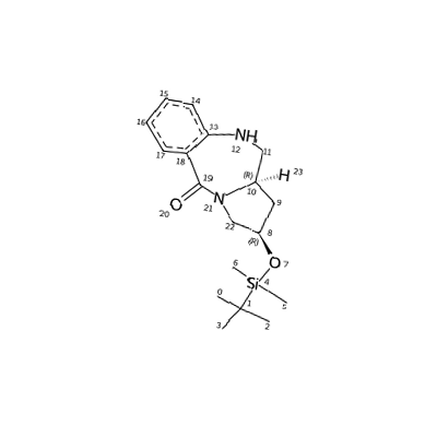 CC(C)(C)[Si](C)(C)O[C@@H]1C[C@@H]2CNc3ccccc3C(=O)N2C1